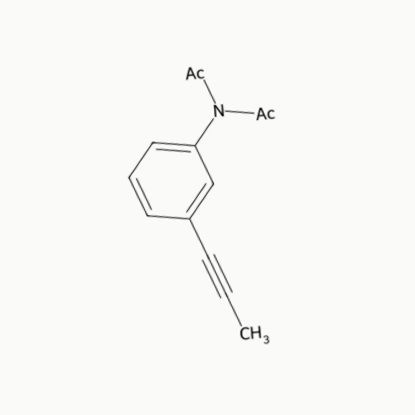 CC#Cc1cccc(N(C(C)=O)C(C)=O)c1